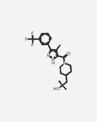 Cc1c(-c2cccc(C(F)(F)F)c2)n[nH]c1C(=O)N1CCC(CC(C)(C)O)CC1